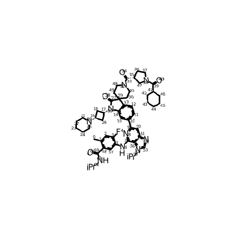 Cc1cc(F)c(Nc2nc(-c3ccc4c(c3)N([C@H]3C[C@@H](N5CCCCC5)C3)C(=O)C43CCN(C(=O)[C@@H]4CCN(C(=O)C5CCCCC5)C4)CC3)cc3ncn(C(C)C)c23)cc1C(=O)NC(C)C